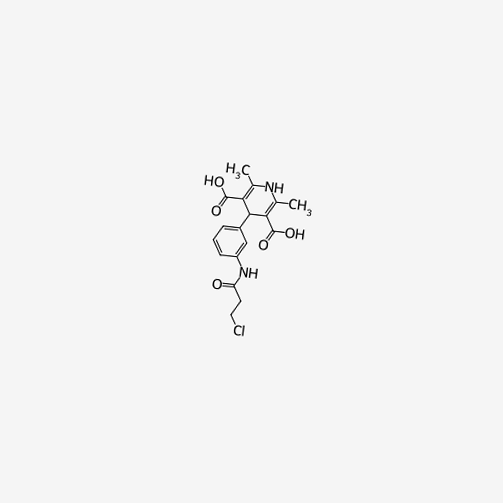 CC1=C(C(=O)O)C(c2cccc(NC(=O)CCCl)c2)C(C(=O)O)=C(C)N1